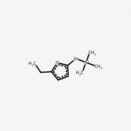 CCc1cc[c]([Sn][N+](C)(C)C)o1